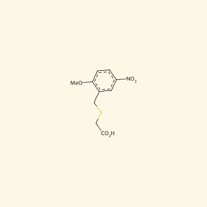 COc1ccc([N+](=O)[O-])cc1CSCC(=O)O